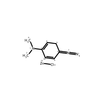 CN(C)C1=CCC(=[N+]=[N-])C=C1.[Cl][Zn]